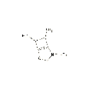 CC1C2=C(C1C)N(C)CO2